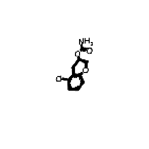 NC(=O)OC1COc2cccc(Cl)c2C1